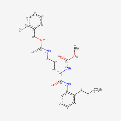 CCOC(=O)CCc1ccccc1NC(=O)[C@H](CCCNC(=O)OCc1ccccc1Cl)NC(=O)OC(C)(C)C